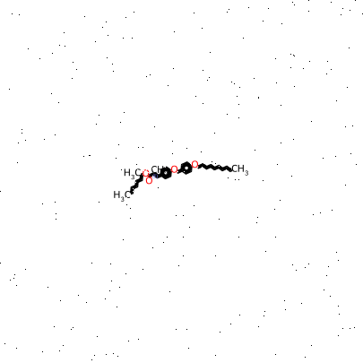 CCCCCCCCCCOc1ccc(COc2ccc(/C=C(\C)C(=O)OC(C)CCCCCC)cc2)cc1